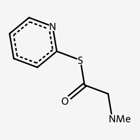 CNCC(=O)Sc1ccccn1